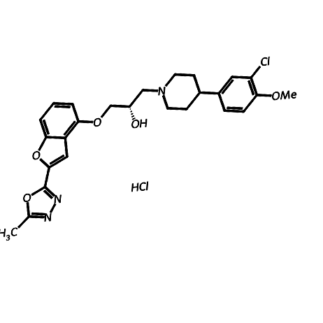 COc1ccc(C2CCN(C[C@H](O)COc3cccc4oc(-c5nnc(C)o5)cc34)CC2)cc1Cl.Cl